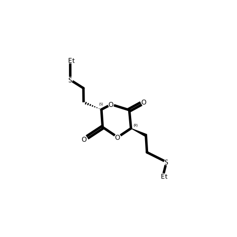 CCSCC[C@@H]1OC(=O)[C@@H](CCSCC)OC1=O